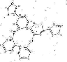 c1ccc2c(c1)Oc1cc(-c3ccoc3)ccc1-c1ccc(-c3ccoc3)cc1Oc1ccccc1-2